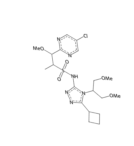 COCC(COC)n1c(NS(=O)(=O)C(C)C(OC)c2ncc(Cl)cn2)nnc1C1CCC1